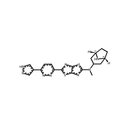 CN(c1nc2sc(-c3ccc(-c4cn[nH]c4)nn3)nc2s1)C1C[C@H]2CC[C@@H](C1)N2